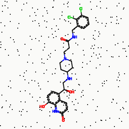 O=C(CCN1CCC(NC[C@@H](O)c2ccc(O)c3[nH]c(=O)ccc23)CC1)NCc1cccc(Cl)c1Cl